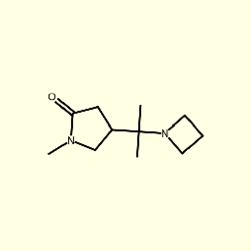 CN1CC(C(C)(C)N2CCC2)CC1=O